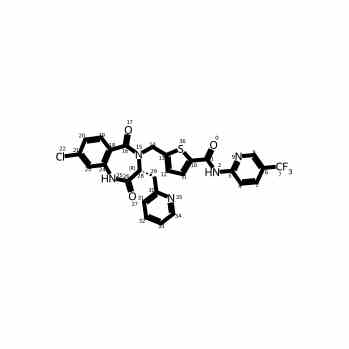 O=C(Nc1ccc(C(F)(F)F)cn1)c1ccc(CN2C(=O)c3ccc(Cl)cc3NC(=O)[C@H]2Cc2ccccn2)s1